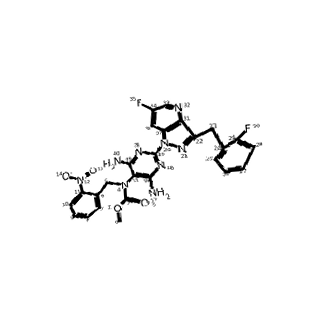 COC(=O)N(Cc1ccccc1[N+](=O)[O-])c1c(N)nc(-n2nc(Cc3ccccc3F)c3ncc(F)cc32)nc1N